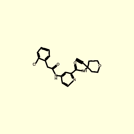 C#CC1(NC(=O)c2cc(NC(=O)Cc3ccccc3Cl)ccn2)CCOCC1